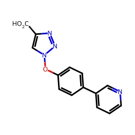 O=C(O)c1cn(Oc2ccc(-c3cccnc3)cc2)nn1